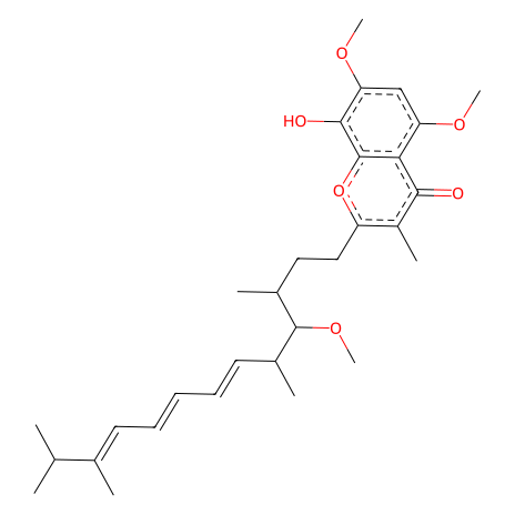 COc1cc(OC)c2c(=O)c(C)c(CCC(C)C(OC)C(C)/C=C/C=C/C=C(\C)C(C)C)oc2c1O